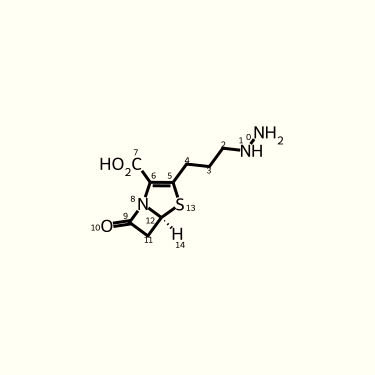 NNCCCC1=C(C(=O)O)N2C(=O)C[C@@H]2S1